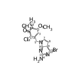 COc1cc(Cn2ccc3c(Br)nc(N)nc32)c(Cl)c(OC)c1C